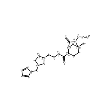 O=C(NOC[C@H]1C[C@@H](Cn2ccnn2)CN1)[C@@H]1CC[C@@H]2CN1C(=O)N2OS(=O)(=O)O